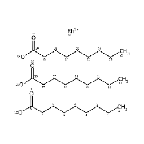 CCCCCCCCC(=O)[O-].CCCCCCCCC(=O)[O-].CCCCCCCCC(=O)[O-].[Rh+3]